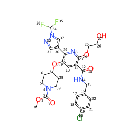 COC(=O)N1CCC(Oc2cc(C(=O)NCc3ccc(Cl)cc3)c(OCCO)nc2-c2cnn(C(F)F)c2)CC1